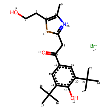 CC1=C(CCO)SC(CC(=O)c2cc(C(C)(C)C)c(O)c(C(C)(C)C)c2)=[N+]1.[Br-]